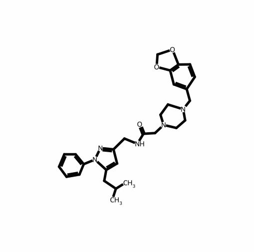 CC(C)Cc1cc(CNC(=O)CN2CCN(Cc3ccc4c(c3)OCO4)CC2)nn1-c1ccccc1